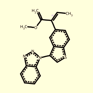 C=C(OC)/C(=C/C)c1ccc2scc(-n3nnc4ccccc43)c2c1